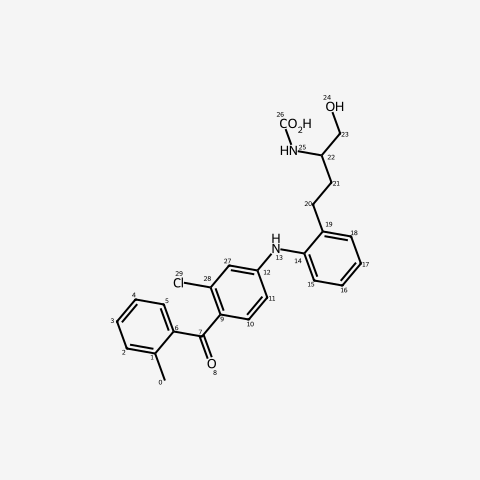 Cc1ccccc1C(=O)c1ccc(Nc2ccccc2CCC(CO)NC(=O)O)cc1Cl